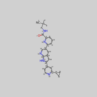 CC(C)(C#N)CNC(=O)c1cccc(-c2cnc3[nH]c(-c4ccnc(C5CC5)c4)cc3c2)n1